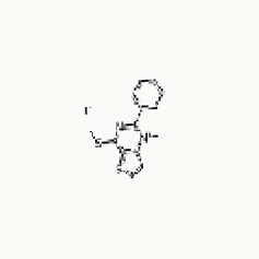 CSc1nc(-c2ccccc2)[n+](C)c2ccsc12.[I-]